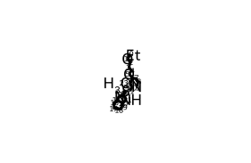 CCOCCCOc1ccnc(CSc2nc3ccccc3[nH]2)c1C